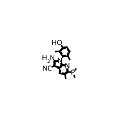 Cc1cc2c(C#N)c(N)n(-c3c(C)ccc(O)c3C)c2nc1P(C)C